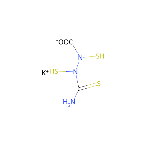 NC(=S)N(S)N(S)C(=O)[O-].[K+]